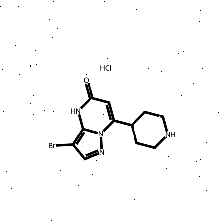 Cl.O=c1cc(C2CCNCC2)n2ncc(Br)c2[nH]1